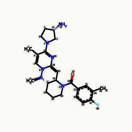 C=NN1C=C(C)C(N2CC[C@H](N)C2)=N/C1=C/C1CCCCN1C(=O)c1ccc(F)c(C)c1